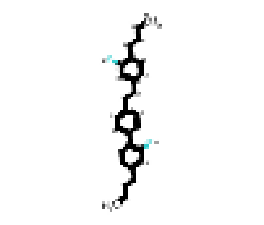 C=CCCc1ccc(-c2ccc(CCc3ccc(CCC=C)c(F)c3)cc2)c(F)c1